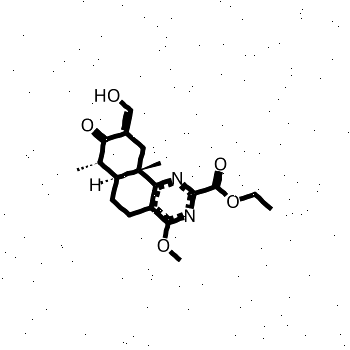 CCOC(=O)c1nc(OC)c2c(n1)[C@@]1(C)C/C(=C/O)C(=O)[C@@H](C)[C@@H]1CC2